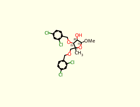 CO[C@H]1O[C@](C)(COCc2ccc(Cl)cc2Cl)[C@@H](OCc2ccc(Cl)cc2Cl)[C@H]1O